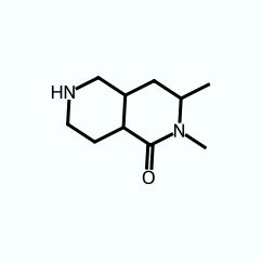 CC1CC2CNCCC2C(=O)N1C